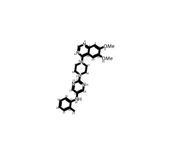 COc1cc2ncnc(N3CCN(c4ncc(Nc5ccccc5C)cn4)CC3)c2cc1OC